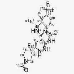 C#C[C@@H](Nc1nc(=O)[nH]c2c1C=C(C1(F)CCN(C(C)=O)CC1)NN2)c1cccc(C(F)(F)F)c1C